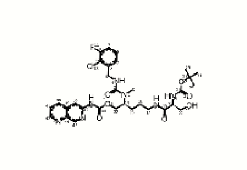 CN(C(=O)NCc1cccc(F)c1Cl)[C@@H](CCCNC(=O)[C@H](CO)NC(=O)OC(C)(C)C)COC(=O)Nc1cc2cccnc2cn1